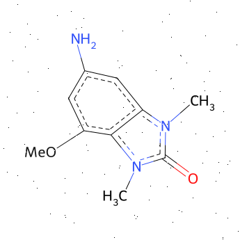 COc1cc(N)cc2c1n(C)c(=O)n2C